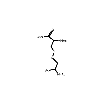 COC(=O)C(CSSCC(NC(C)=O)C(C)=O)NC(C)=O